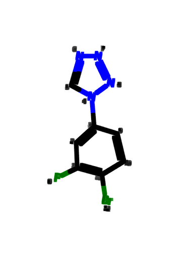 Fc1cc(-n2cnnn2)ccc1Br